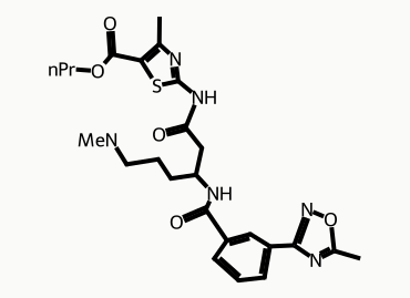 CCCOC(=O)c1sc(NC(=O)CC(CCCNC)NC(=O)c2cccc(-c3noc(C)n3)c2)nc1C